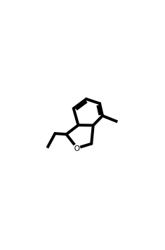 CCC1OCC2C(C)=CC=CC12